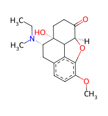 CCN(C)[C@H]1Cc2ccc(OC)c3c2C2[C@H](O3)C(=O)CC[C@@]21O